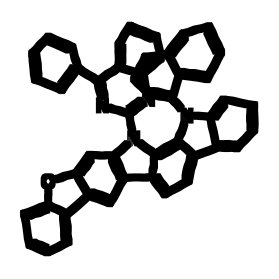 c1ccc(-c2nc(-n3c4cc5oc6ccccc6c5cc4c4ccc5c6ccccc6n(-c6cccc7ccccc67)c5c43)nc3ccccc23)cc1